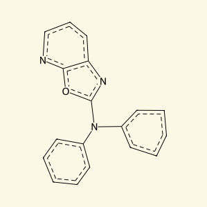 c1ccc(N(c2ccccc2)c2nc3cccnc3o2)cc1